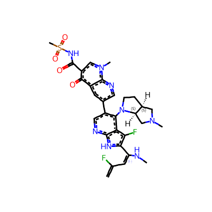 C=C(F)/C=C(/NC)c1[nH]c2ncc(-c3cnc4c(c3)c(=O)c(C(=O)NS(C)(=O)=O)cn4C)c(N3CC[C@H]4CN(C)C[C@H]43)c2c1F